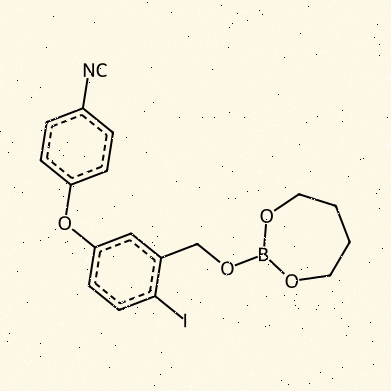 [C-]#[N+]c1ccc(Oc2ccc(I)c(COB3OCCCCO3)c2)cc1